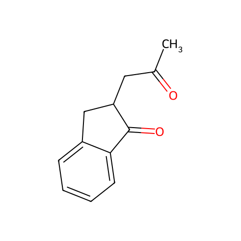 CC(=O)CC1Cc2ccccc2C1=O